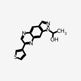 CC(O)n1ncc2cc3ncc(-c4ccsc4)nc3cc21